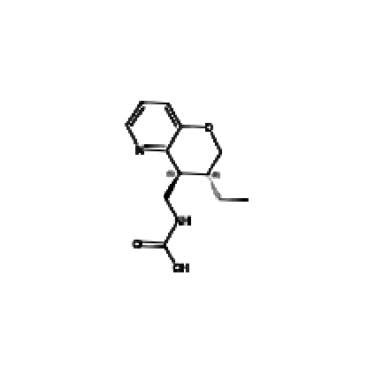 CC[C@H]1COc2cccnc2[C@@H]1CNC(=O)O